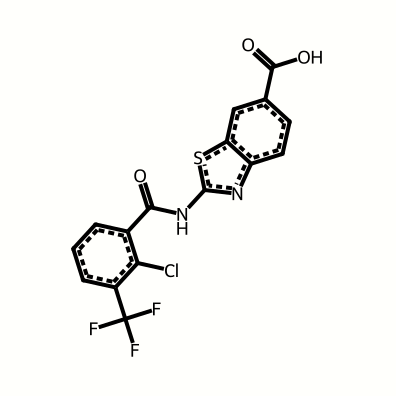 O=C(O)c1ccc2nc(NC(=O)c3cccc(C(F)(F)F)c3Cl)sc2c1